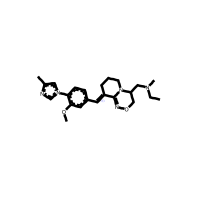 CCN(C)CC1CON=C2/C(=C/c3ccc(-n4cnc(C)c4)c(OC)c3)CCCN21